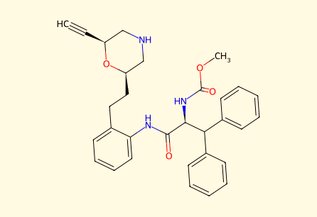 C#C[C@H]1CNC[C@@H](CCc2ccccc2NC(=O)[C@@H](NC(=O)OC)C(c2ccccc2)c2ccccc2)O1